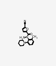 Cc1cccc(N2CCCCC2)c1N(N)C(=O)c1ccc(C#N)o1